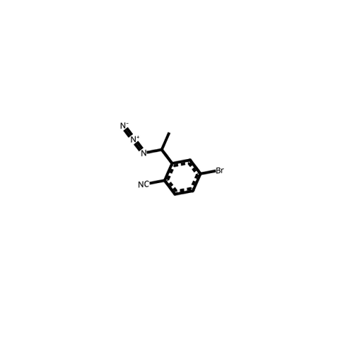 CC(N=[N+]=[N-])c1cc(Br)ccc1C#N